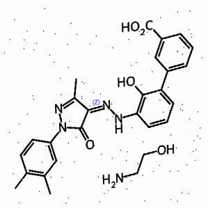 CC1=NN(c2ccc(C)c(C)c2)C(=O)/C1=N\Nc1cccc(-c2cccc(C(=O)O)c2)c1O.NCCO